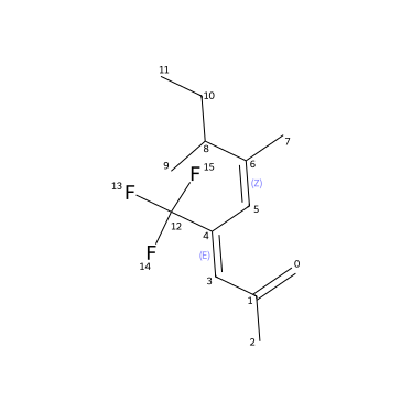 C=C(C)/C=C(\C=C(\C)C(C)CC)C(F)(F)F